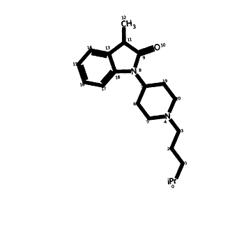 CC(C)CCCN1CCC(N2C(=O)C(C)c3ccccc32)CC1